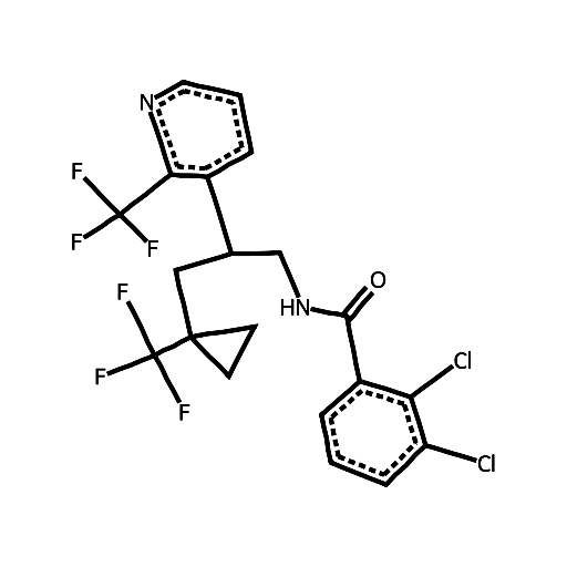 O=C(NCC(CC1(C(F)(F)F)CC1)c1cccnc1C(F)(F)F)c1cccc(Cl)c1Cl